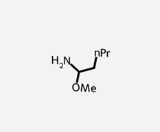 C[CH]CCC(N)OC